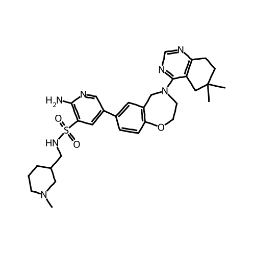 CN1CCCC(CNS(=O)(=O)c2cc(-c3ccc4c(c3)CN(c3ncnc5c3CC(C)(C)CC5)CCO4)cnc2N)C1